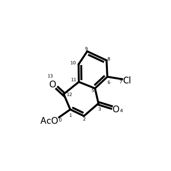 CC(=O)OC1=CC(=O)c2c(Cl)cccc2C1=O